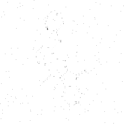 N#Cc1ccc2c(c1)C(=O)c1nc3c(Nc4ccccn4)cccc3c(=O)n1-2